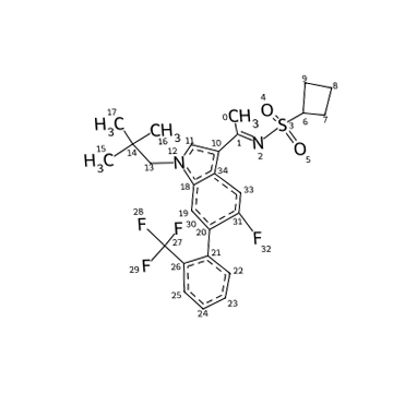 CC(=NS(=O)(=O)C1CCC1)c1cn(CC(C)(C)C)c2cc(-c3ccccc3C(F)(F)F)c(F)cc12